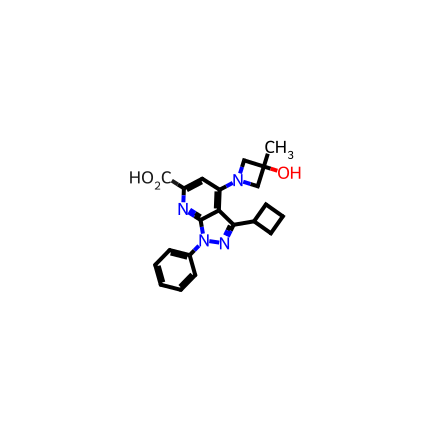 CC1(O)CN(c2cc(C(=O)O)nc3c2c(C2CCC2)nn3-c2ccccc2)C1